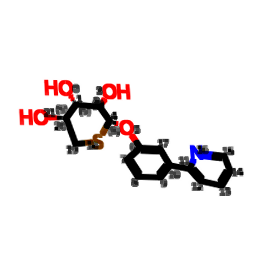 O[C@@H]1[C@@H](O)[C@H](Oc2cccc(-c3ccccn3)c2)SC[C@H]1O